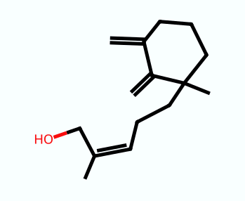 C=C1CCCC(C)(CC/C=C(/C)CO)C1=C